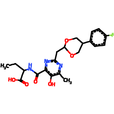 CCC(NC(=O)c1nc(CC2OCC(c3ccc(F)cc3)CO2)nc(C)c1O)C(=O)O